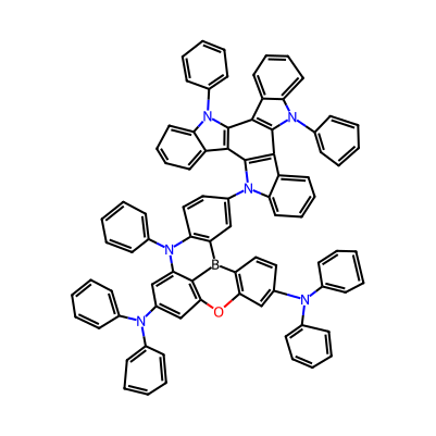 c1ccc(N(c2ccccc2)c2ccc3c(c2)Oc2cc(N(c4ccccc4)c4ccccc4)cc4c2B3c2cc(-n3c5ccccc5c5c6c(c7ccccc7n6-c6ccccc6)c6c(c7ccccc7n6-c6ccccc6)c53)ccc2N4c2ccccc2)cc1